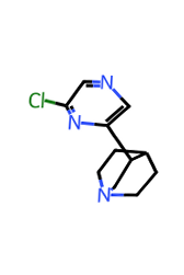 Clc1cncc(C2CN3CCC2CC3)n1